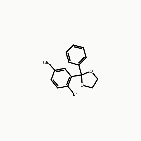 CC(C)(C)c1ccc(Br)c(C2(c3ccccc3)OCCO2)c1